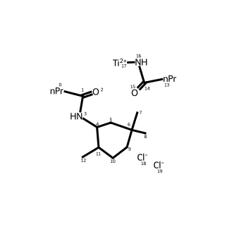 CCCC(=O)NC1CC(C)(C)CCC1C.CCCC(=O)[NH][Ti+2].[Cl-].[Cl-]